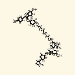 Cc1ncsc1-c1ccc(CNC(=O)[C@@H]2C[C@@H](O)CN2C(=O)C(NC(=O)COCCOCCOCCOc2ccc(Oc3c(-c4ccc(Br)cc4)sc4cc(O)ccc34)cc2)C(C)(C)C)cc1